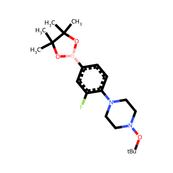 CC(C)(C)ON1CCN(c2ccc(B3OC(C)(C)C(C)(C)O3)cc2F)CC1